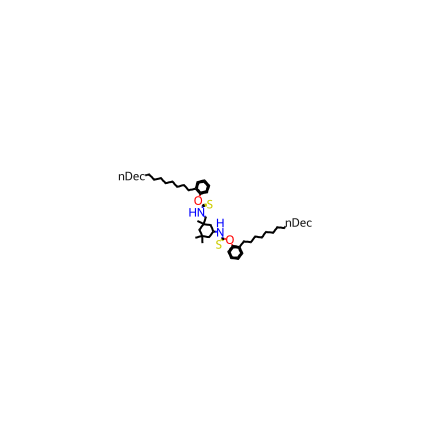 CCCCCCCCCCCCCCCCCCc1ccccc1OC(=S)NCC1(C)CC(NC(=S)Oc2ccccc2CCCCCCCCCCCCCCCCCC)CC(C)(C)C1